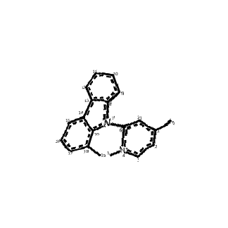 Cc1cc[n+](C)c(-n2c3ccccc3c3cccc(C)c32)c1